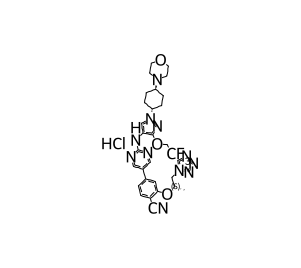 C[C@@H](Cn1cnnn1)Oc1cc(-c2cnc(Nc3cn([C@H]4CC[C@H](N5CCOCC5)CC4)nc3OCC(F)(F)F)nc2)ccc1C#N.Cl